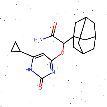 NC(=O)C(Oc1cc(C2CC2)[nH]c(=O)n1)C12CC3CC(CC(C3)C1)C2